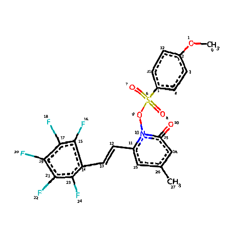 COc1ccc(S(=O)(=O)On2c(C=Cc3c(F)c(F)c(F)c(F)c3F)cc(C)cc2=O)cc1